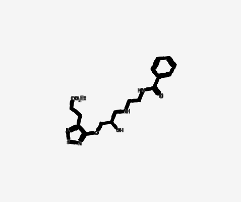 CCOC(=O)CCc1nsnc1OCC(O)CNCCNC(=O)c1ccccc1